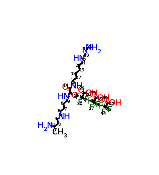 CC(N)CCNCCCCNC(=O)C(=O)NCCCCCCNC=NN.O=C(O)C(F)(F)F.O=C(O)C(F)(F)F.O=C(O)C(F)(F)F